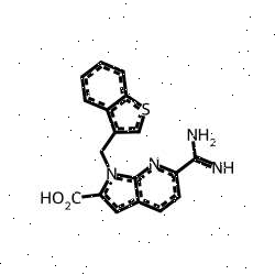 N=C(N)c1ccc2cc(C(=O)O)n(Cc3csc4ccccc34)c2n1